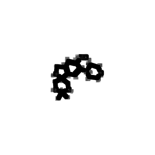 CC1(C)OCC2(CO1)OCc1cc([N+](=O)[O-])c(N3CCOCC3)cc12